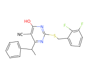 CC(c1ccccc1)c1nc(SCc2cccc(F)c2F)nc(O)c1C#N